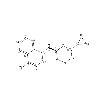 Clc1nnc(N[C@@H]2CCCN(C3CC3)C2)c2ccccc12